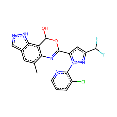 Cc1cc2cn[nH]c2c2c1N=C(c1cc(C(F)F)nn1-c1ncccc1Cl)OC2O